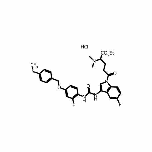 CCOC(=O)C(CCC(=O)n1cc(NC(=O)Nc2ccc(OCc3ccc(SC(F)(F)F)cc3)cc2F)c2cc(F)ccc21)N(C)C.Cl